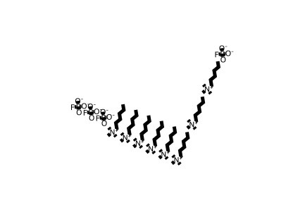 CCCCCC[N+](C)(C)C.CCCCCC[N+](C)(C)C.CCCCCC[N+](C)(C)C.CCCCCC[N+](C)(C)C.CCCCCC[N+](C)(C)C.CCCCCC[N+](C)(C)C.CCCCCC[N+](C)(C)C.CCCCCC[N+](C)(C)C.O=P([O-])([O-])F.O=P([O-])([O-])F.O=P([O-])([O-])F.O=P([O-])([O-])F